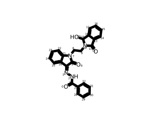 O=C(N/N=C1\C(=O)N(CCN2C(=O)c3ccccc3C2O)c2ccccc21)c1ccccc1